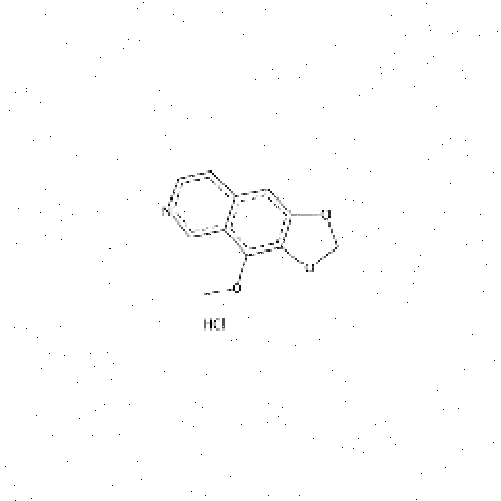 COc1c2c(cc3ccncc13)OCO2.Cl